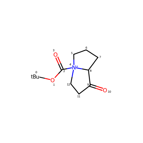 CC(C)(C)OC(=O)[N+]12CCCC1C(=O)CC2